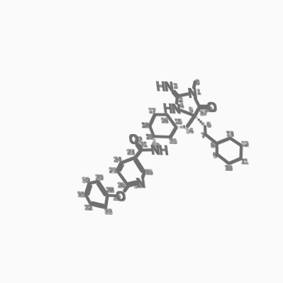 CN1C(=N)N[C@](CCC2CCCCC2)(C[C@H]2CCC[C@@H](NC(=O)c3ccc(Oc4ccccc4)nc3)C2)C1=O